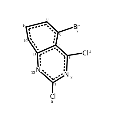 Clc1nc(Cl)c2c(Br)cccc2n1